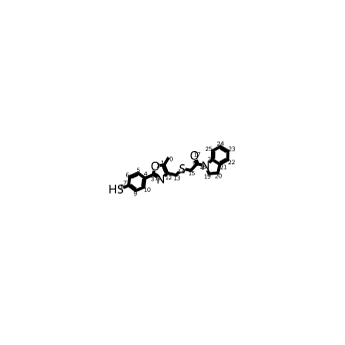 Cc1oc(-c2ccc(S)cc2)nc1CSCC(=O)N1CCc2ccccc21